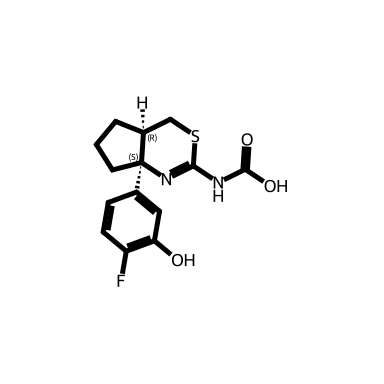 O=C(O)NC1=N[C@@]2(c3ccc(F)c(O)c3)CCC[C@H]2CS1